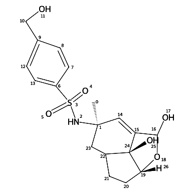 C[C@]1(NS(=O)(=O)c2ccc(CO)cc2)C=C2C(O)O[C@@H]3CCC(C1)[C@]23O